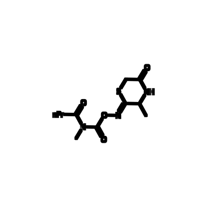 CCCC(=O)N(C)C(=O)ON=C1SCC(=O)NC1C